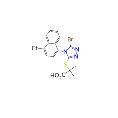 CCc1ccc(-n2c(Br)nnc2SC(C)(C)C(=O)O)c2ccccc12